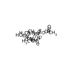 Cc1c(N(C(=O)c2cc(-c3cc4c(cc3C(=O)N3Cc5ccccc5C[C@H]3CN3CCCCC3)CN(C(=O)Cc3ccc(OC[C@H](C)N5CCOCC5)cc3F)CC4)n(C)c2C)c2ccc(O)cc2)cc(C#N)n1C